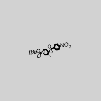 C[C@@H]1CN(C(=O)OC(C)(C)C)CC[C@@H]1OC(=O)c1ccc([N+](=O)[O-])cc1